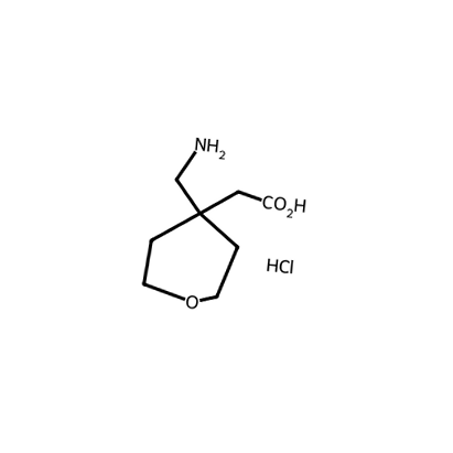 Cl.NCC1(CC(=O)O)CCOCC1